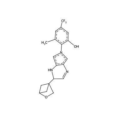 Cc1cc(C(F)(F)F)cc(O)c1-n1cc2c(c1)NC(C13COC(C1)C3)C=N2